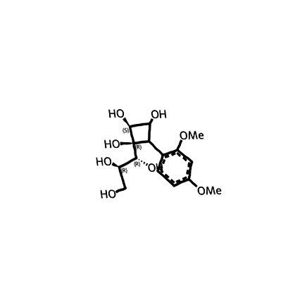 COc1ccc(C2C(O)[C@H](O)[C@@]2(O)[C@H](O)[C@H](O)CO)c(OC)c1